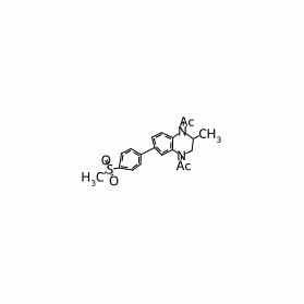 CC(=O)N1CC(C)N(C(C)=O)c2ccc(-c3ccc(S(C)(=O)=O)cc3)cc21